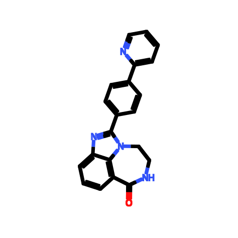 O=C1NCCn2c(-c3ccc(-c4ccccn4)cc3)nc3cccc1c32